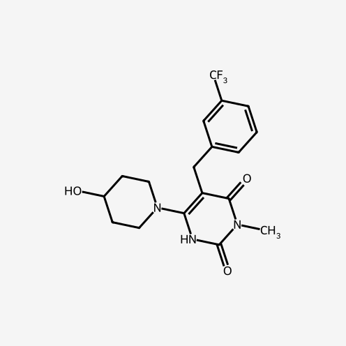 Cn1c(=O)[nH]c(N2CCC(O)CC2)c(Cc2cccc(C(F)(F)F)c2)c1=O